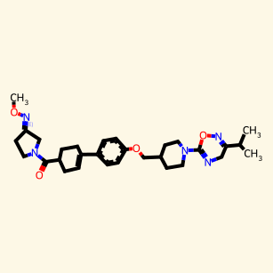 CO/N=C1\CCN(C(=O)C2CC=C(c3ccc(OCC4CCN(C5=NCC(C(C)C)=NO5)CC4)cc3)CC2)C1